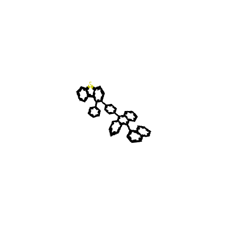 c1ccc(-c2c(-c3ccc(-c4c5ccccc5c(-c5cccc6ccccc56)c5ccccc45)cc3)ccc3sc4ccccc4c23)cc1